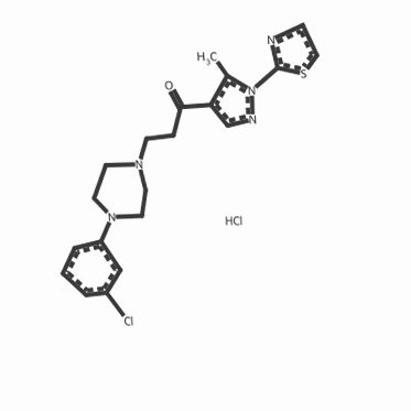 Cc1c(C(=O)CCN2CCN(c3cccc(Cl)c3)CC2)cnn1-c1nccs1.Cl